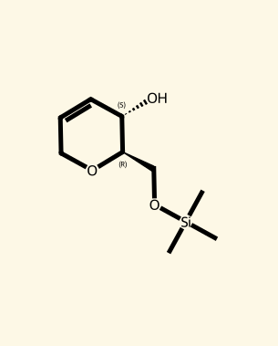 C[Si](C)(C)OC[C@H]1OCC=C[C@@H]1O